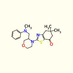 CN(CC1COCCN1c1nc2c(s1)C(=O)CC(C)(C)C2)c1ccccc1